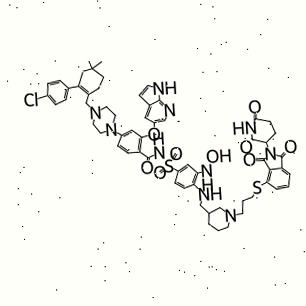 CC1(C)CCC(CN2CCN(c3ccc(C(=O)NS(=O)(=O)c4ccc(NCC5CCCN(CCCSc6cccc7c6C(=O)N(C6CCC(=O)NC6=O)C7=O)C5)c(NO)c4)c(Oc4cnc5[nH]ccc5c4)c3)CC2)=C(c2ccc(Cl)cc2)C1